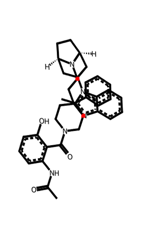 CC(=O)Nc1cccc(O)c1C(=O)N1CCC(CCN2[C@@H]3CC[C@H]2CC(n2c(C)nc4ccccc42)C3)(c2ccccc2)CC1